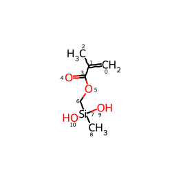 C=C(C)C(=O)OC[Si](C)(O)O